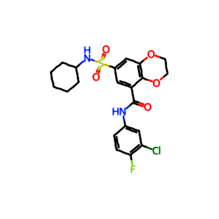 O=C(Nc1ccc(F)c(Cl)c1)c1cc(S(=O)(=O)NC2CCCCC2)cc2c1OCCO2